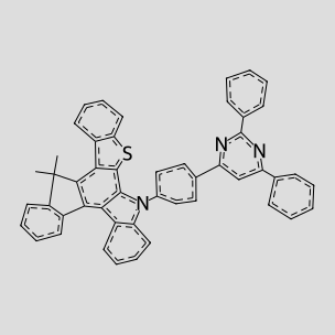 CC1(C)c2ccccc2-c2c1c1c3ccccc3sc1c1c2c2ccccc2n1-c1ccc(-c2cc(-c3ccccc3)nc(-c3ccccc3)n2)cc1